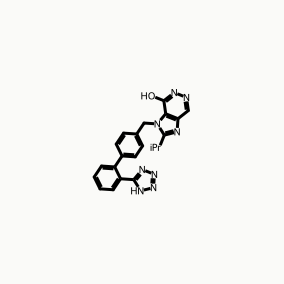 CC(C)c1nc2cnnc(O)c2n1Cc1ccc(-c2ccccc2-c2nnn[nH]2)cc1